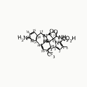 Cc1cc(C)n([C@@](C(N)=O)(C(=O)NCc2ccc(N)nc2C)c2cccc(C(F)(F)F)c2)c1C(=O)O